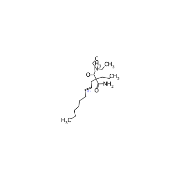 C=CCC(C/C=C/CCCCCC)(C(N)=O)C(=O)N(CC)CC